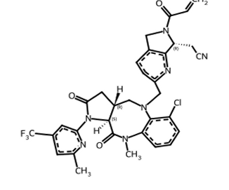 C=CC(=O)N1Cc2ccc(CN3C[C@H]4CC(=O)N(c5cc(C(F)(F)F)cc(C)n5)[C@@H]4C(=O)N(C)c4cccc(Cl)c43)nc2[C@H]1CC#N